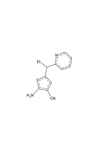 CCC(c1ccccn1)c1cc(C#N)c(N)s1